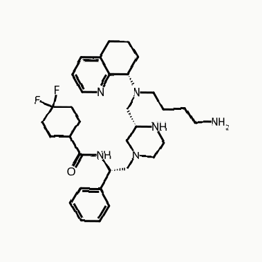 NCCCCN(C[C@H]1CN(C[C@@H](NC(=O)C2CCC(F)(F)CC2)c2ccccc2)CCN1)[C@H]1CCCc2cccnc21